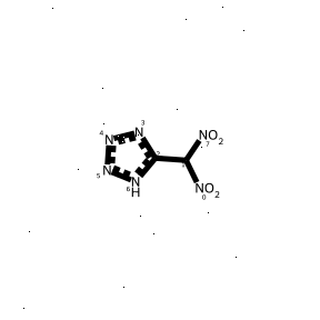 O=[N+]([O-])C(c1nnn[nH]1)[N+](=O)[O-]